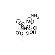 CCCCOC(=O)[C@H](C)NP(=O)(OC[C@@]1(C#N)O[C@@H](c2ccc3c(N)ccnn23)[C@H](O)[C@@H]1O)Oc1ccccc1